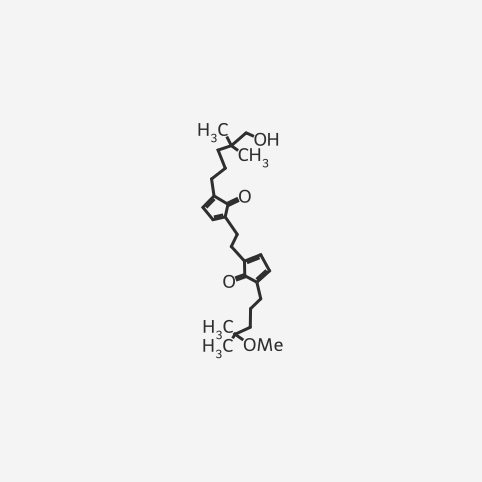 COC(C)(C)CCCC1=CC=C(CCC2=CC=C(CCCC(C)(C)CO)C2=O)C1=O